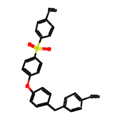 COc1ccc(Cc2ccc(Oc3ccc(S(=O)(=O)c4ccc(OC)cc4)cc3)cc2)cc1